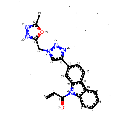 C=CC(=O)n1c2ccccc2c2ccc(-c3cn(Cc4nnc(C)o4)nn3)cc21